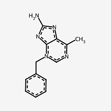 Cc1ncn(Cc2ccccc2)c2nc(N)nc1-2